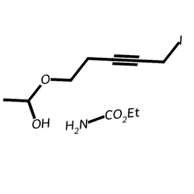 CC(O)OCCC#CCI.CCOC(N)=O